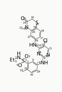 CCNS(=O)(=O)c1cc(Nc2ncc(Cl)c(Nc3ccc4c(c3)N(C)C(=O)CS4)n2)ccc1C